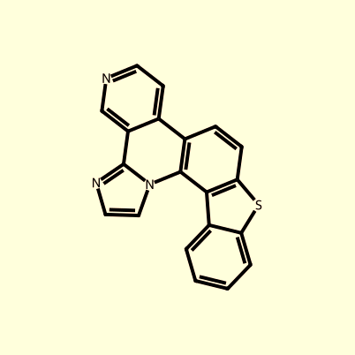 c1ccc2c(c1)sc1ccc3c4ccncc4c4nccn4c3c12